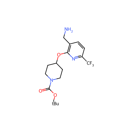 CC(C)(C)OC(=O)N1CCC(Oc2nc(C(F)(F)F)ccc2CN)CC1